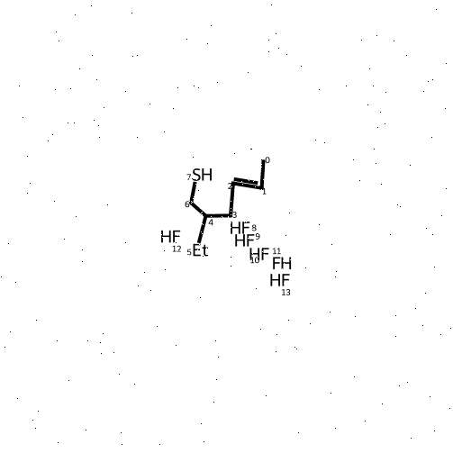 CC=CCC(CC)CS.F.F.F.F.F.F